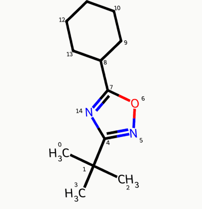 CC(C)(C)c1noc(C2CCCCC2)n1